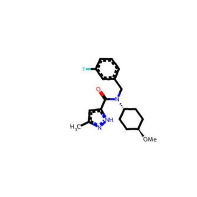 CO[C@H]1CC[C@H](N(Cc2cccc(F)c2)C(=O)c2cc(C)n[nH]2)CC1